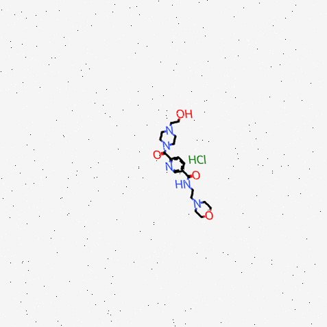 Cl.O=C(NCCN1CCOCC1)c1ccc(C(=O)N2CCN(CCO)CC2)nc1